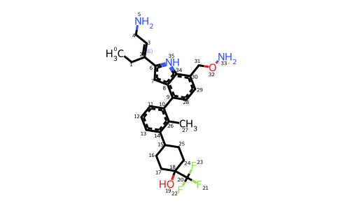 CC/C(=C\CN)c1cc2c(-c3cccc(C4CCC(O)(C(F)(F)F)CC4)c3C)ccc(CON)c2[nH]1